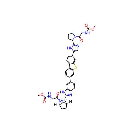 COC(=O)NCC(=O)N1CCCC1c1ncc(-c2ccc3c(c2)sc2cc(-c4ccc5nc([C@@H]6[C@H]7CC[C@H](C7)N6C(=O)CNC(=O)OC)[nH]c5c4)ccc23)[nH]1